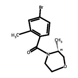 Cc1cc(Br)ccc1C(=O)N1CCOC[C@H]1C